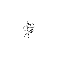 CCN(CC)C(=O)C1CCCc2c1c1c(OC)cccc1n2CC